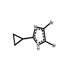 Brc1nc(C2CC2)[nH]c1Br